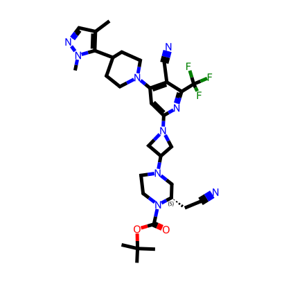 Cc1cnn(C)c1C1CCN(c2cc(N3CC(N4CCN(C(=O)OC(C)(C)C)[C@@H](CC#N)C4)C3)nc(C(F)(F)F)c2C#N)CC1